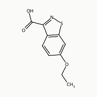 CCOc1ccc2c(C(=O)O)nsc2c1